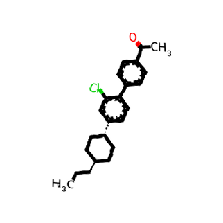 CCC[C@H]1CC[C@H](c2ccc(-c3ccc(C(C)=O)cc3)c(Cl)c2)CC1